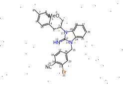 COCC(Cc1ccc(C)cc1)n1c(=N)n(Cc2ccc(C#N)c(Br)c2)c2ccccc21